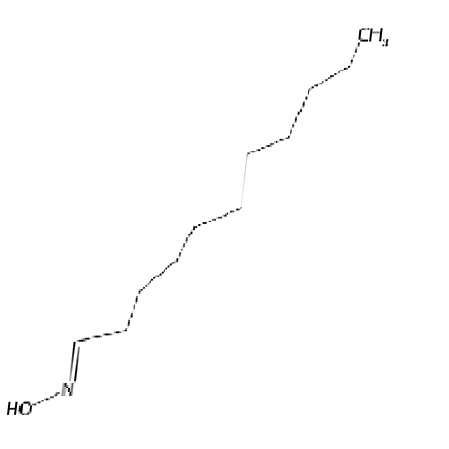 CCCCCCCCCCC=NO